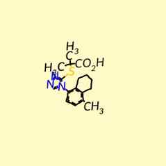 Cc1ccc(-n2cnnc2SC(C)(C)C(=O)O)c2c1CCCC2